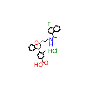 Cc1cc(C(=O)O)ccc1[C@@H]1C[C@@H](CCCN[C@H](C)c2ccc(F)c3ccccc23)Oc2ccccc21.Cl